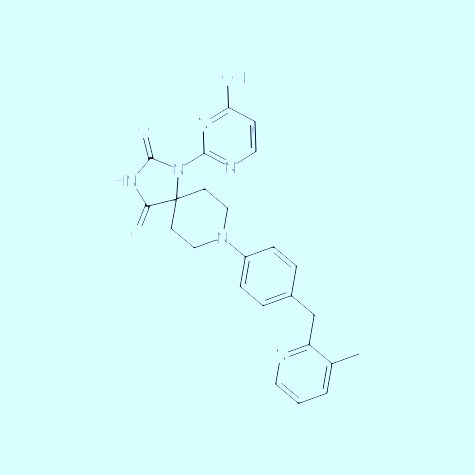 Cc1cccnc1Cc1ccc(N2CCC3(CC2)C(=O)NC(=O)N3c2nccc(O)n2)cc1